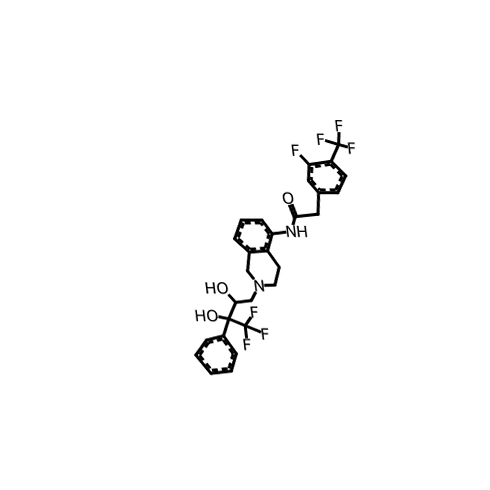 O=C(Cc1ccc(C(F)(F)F)c(F)c1)Nc1cccc2c1CCN(CC(O)C(O)(c1ccccc1)C(F)(F)F)C2